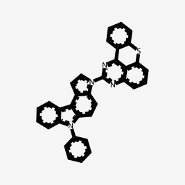 c1ccc(-n2c3ccccc3c3c4ccn(-c5nc6c7c(cccc7n5)Sc5ccccc5-6)c4ccc32)cc1